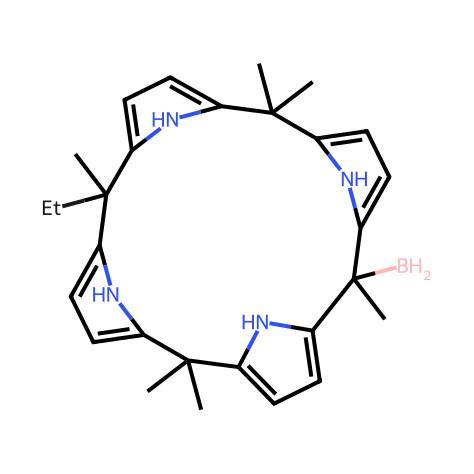 BC1(C)c2ccc([nH]2)C(C)(C)c2ccc([nH]2)C(C)(CC)c2ccc([nH]2)C(C)(C)c2ccc1[nH]2